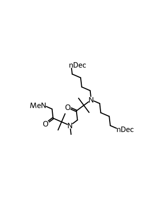 CCCCCCCCCCCCCCN(CCCCCCCCCCCCCC)C(C)(C)C(=O)CN(C)C(C)(C)C(=O)CNC